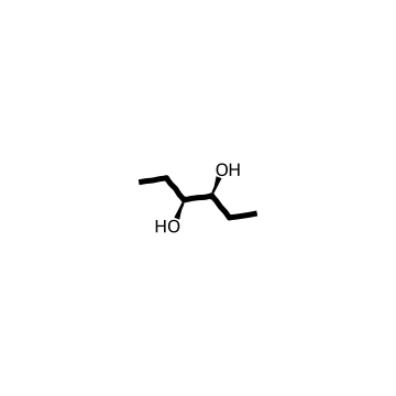 CC[C@H](O)[C@@H](O)CC